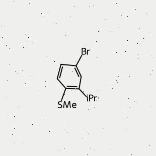 CSc1ccc(Br)cc1[C](C)C